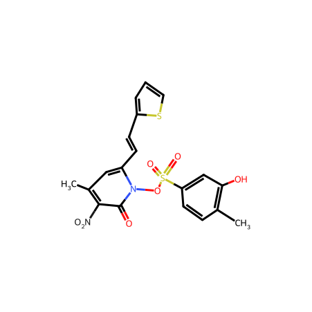 Cc1ccc(S(=O)(=O)On2c(C=Cc3cccs3)cc(C)c([N+](=O)[O-])c2=O)cc1O